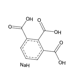 O=C(O)c1cccc(C(=O)O)c1C(=O)O.[NaH]